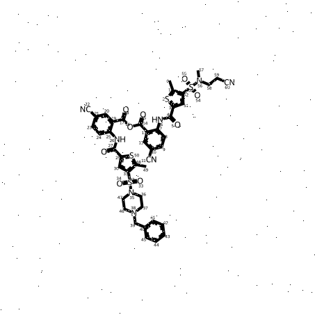 Cc1sc(C(=O)Nc2ccc(C#N)cc2C(=O)OC(=O)c2cc(C#N)ccc2NC(=O)c2cc(S(=O)(=O)N3CCN(Cc4ccccc4)CC3)c(C)s2)cc1S(=O)(=O)N(C)CCC#N